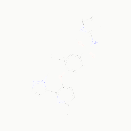 Cn1nccc1-c1nc(Cl)ccc1Oc1ccc(S(=O)(=O)Nc2nccs2)cc1C#N